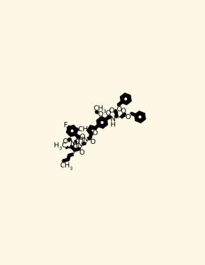 CCCCC[C@@H](C(=O)NCNC(=O)c1ccc(-c2ccc(C(=O)N[C@@H](CC(=O)OCc3ccccc3)C(=O)OCc3ccccc3)c(OCC)c2)o1)[C@@H](CC)N(C=O)OC(=O)c1ccc(F)cc1C